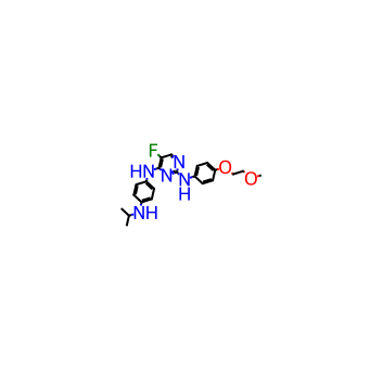 COCCOc1ccc(Nc2ncc(F)c(Nc3ccc(NC(C)C)cc3)n2)cc1